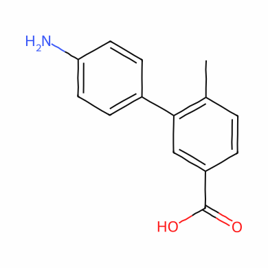 Cc1ccc(C(=O)O)cc1-c1ccc(N)cc1